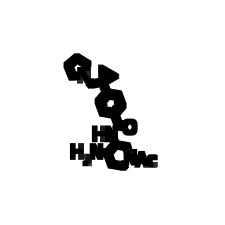 CC(=O)N1CCC(N)C(NC(=O)c2ccc(C3(CN4CCCC4)CC3)cc2)C1